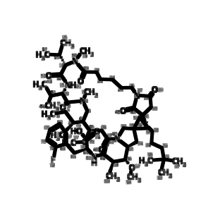 CC[C@H](C)C(CN(C)C(=O)[C@@H](NC(=O)[C@H](C(C)C)N(C)C(=O)CCCCCN1C(=O)CC(SCCCC(C)(C)C)C1=O)C(C)C)[C@@H](CC(=O)N1CC2(CC2)C[C@H]1[C@H](OC)[C@@H](C)C(=O)N[C@@H](Cc1ccccc1F)C(=O)O)OC